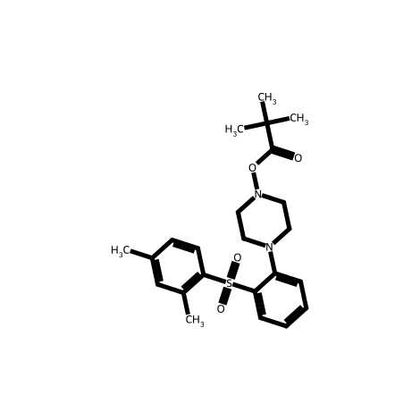 Cc1ccc(S(=O)(=O)c2ccccc2N2CCN(OC(=O)C(C)(C)C)CC2)c(C)c1